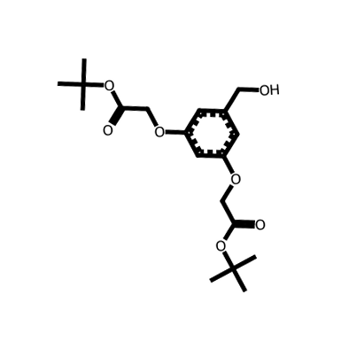 CC(C)(C)OC(=O)COc1cc(CO)cc(OCC(=O)OC(C)(C)C)c1